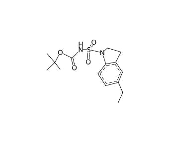 CCc1ccc2c(c1)CCN2S(=O)(=O)NC(=O)OC(C)(C)C